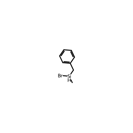 C[SiH](Br)Cc1ccccc1